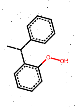 CC(c1ccccc1)c1ccccc1OO